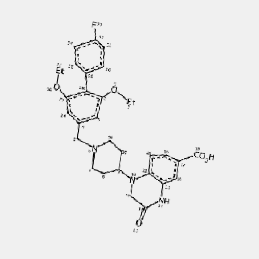 CCOc1cc(CN2CCC(N3CC(=O)Nc4cc(C(=O)O)ccc43)CC2)cc(OCC)c1-c1ccc(F)cc1